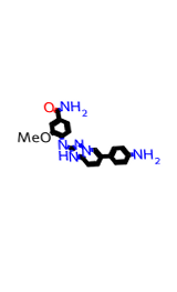 COc1cc(C(N)=O)ccc1Nc1nc2ccc(-c3ccc(N)cc3)cn2n1